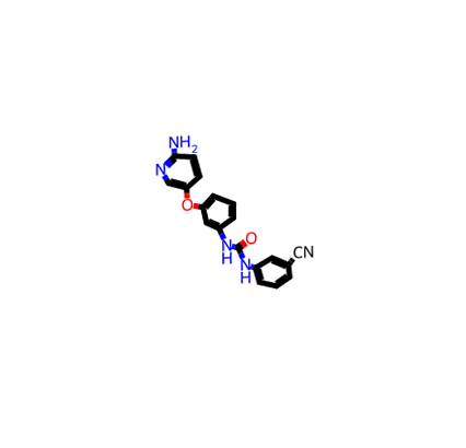 N#Cc1cccc(NC(=O)Nc2cccc(Oc3ccc(N)nc3)c2)c1